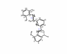 CCc1cccc(CC)c1/N=C(\C)c1cccc(/C(C)=N/c2c(C)cccc2C)n1